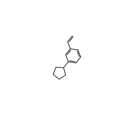 C=[C]c1cccc(C2CCCC2)c1